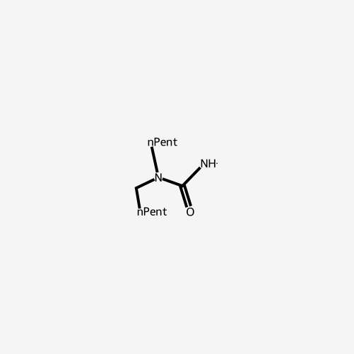 CCCCCCN(CCCCC)C([NH])=O